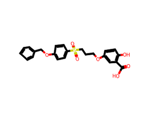 O=C(O)c1cc(OCCCS(=O)(=O)c2ccc(OCc3ccccc3)cc2)ccc1O